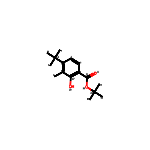 Cc1c(C(C)(C)C)ccc(C(=O)OC(C)(C)C)c1O